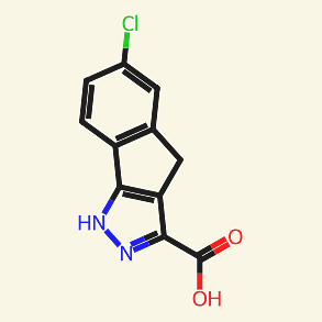 O=C(O)c1n[nH]c2c1Cc1cc(Cl)ccc1-2